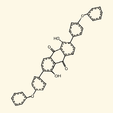 O=C1c2ccc(-c3ccc(Oc4ccccc4)cc3)c(O)c2C(=O)c2ccc(-c3ccc(Oc4ccccc4)cc3)c(O)c21